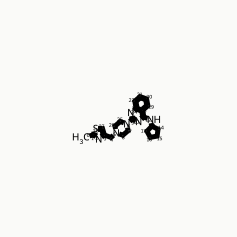 Cc1nc(CN2CCN(c3nc(NC4CCCC4)c4ccccc4n3)CC2)cs1